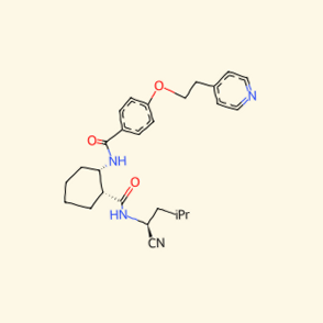 CC(C)C[C@@H](C#N)NC(=O)[C@@H]1CCCC[C@@H]1NC(=O)c1ccc(OCCc2ccncc2)cc1